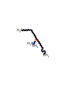 CCC=CCC=CC/C=C\CCCCCCCCC(CCCCCCCC/C=C\C/C=C\C/C=C\CC)OCCCN(C)C